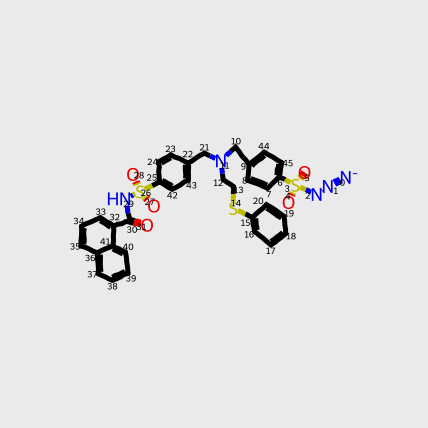 [N-]=[N+]=NS(=O)(=O)c1ccc(CN(CCSc2ccccc2)Cc2ccc(S(=O)(=O)NC(=O)c3cccc4ccccc34)cc2)cc1